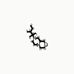 CCC(C)C(C)(C)N1CCN2CCOCC2C1